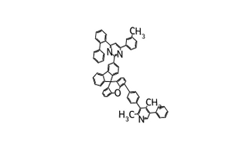 Cc1cccc(-c2cc(-c3ccccc3-c3ccccc3)nc(-c3ccc4c(c3)-c3ccccc3C43c4ccccc4Oc4c(-c5ccc(-c6c(C)ncc(-c7ccccc7)c6C)cc5)cccc43)n2)c1